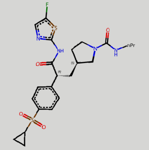 CCCNC(=O)N1CC[C@H](C[C@@H](C(=O)Nc2ncc(F)s2)c2ccc(S(=O)(=O)C3CC3)cc2)C1